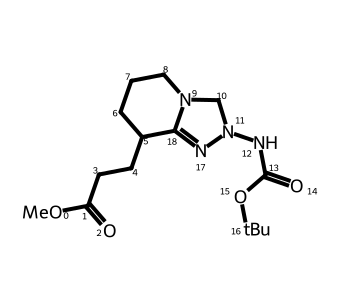 COC(=O)CCC1CCCN2CN(NC(=O)OC(C)(C)C)N=C12